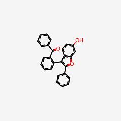 O=C(c1ccccc1)c1ccccc1-c1c(-c2ccccc2)oc2cc(O)ccc12